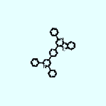 c1ccc(-c2cc(-c3ccc(-c4cc(-c5ccccc5)nc5c4oc4ccccc45)cc3)cc(-c3ccccc3)n2)cc1